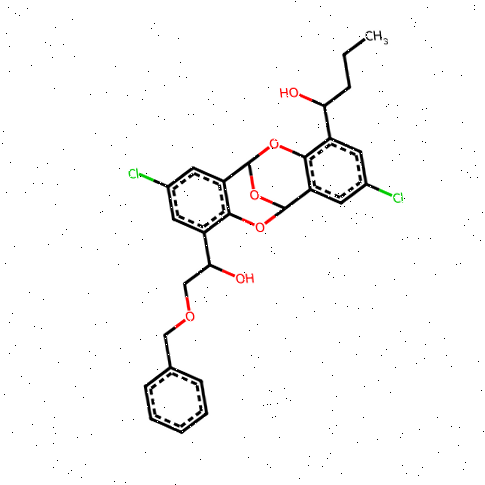 CCCC(O)c1cc(Cl)cc2c1OC1OC2Oc2c(C(O)COCc3ccccc3)cc(Cl)cc21